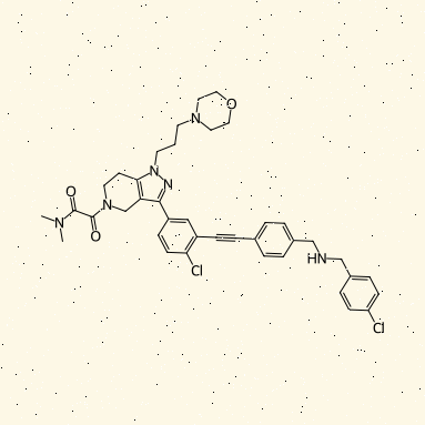 CN(C)C(=O)C(=O)N1CCc2c(c(-c3ccc(Cl)c(C#Cc4ccc(CNCc5ccc(Cl)cc5)cc4)c3)nn2CCCN2CCOCC2)C1